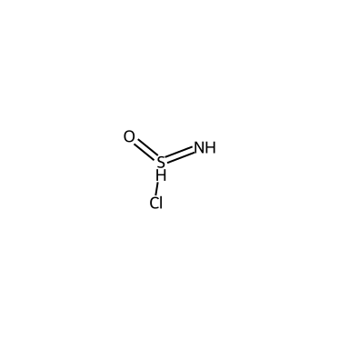 N=[SH](=O)Cl